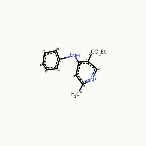 CCOC(=O)c1cnc(C(F)(F)F)cc1Nc1ccccc1